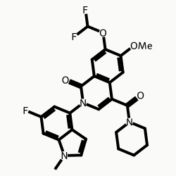 COc1cc2c(C(=O)N3CCCCC3)cn(-c3cc(F)cc4c3ccn4C)c(=O)c2cc1OC(F)F